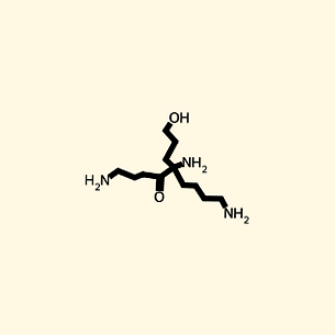 NCCCCC(N)(CCCO)C(=O)CCCN